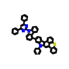 c1ccc(-c2cc(-c3ccccc3)nc(-n3c4ccccc4c4c(-c5ccc6c7c8cccc9c8c(cc7n(-c7ccccc7)c6c5)-c5ccccc5S9)cccc43)n2)cc1